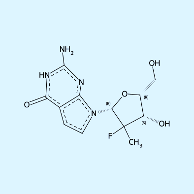 CC1(F)[C@@H](O)[C@@H](CO)O[C@H]1n1ccc2c(=O)[nH]c(N)nc21